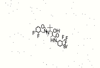 C/C(C(=O)Nc1ccc(Br)c(C(F)(F)F)c1)=C(/O)C(N(C)N(C=O)Cc1cccc(F)c1F)C(C)(C)C